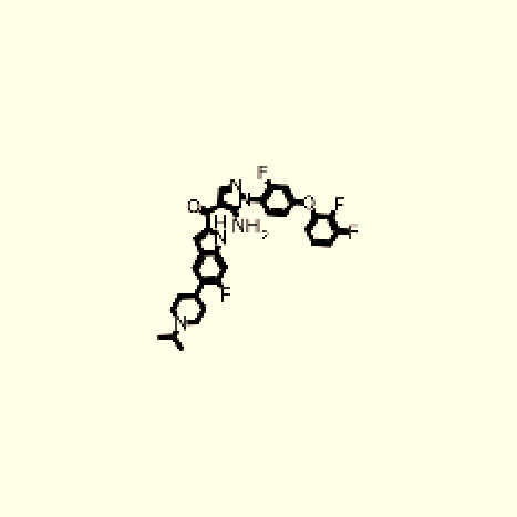 CC(C)N1CCC(c2cc3cc(C(=O)c4cnn(-c5ccc(Oc6cccc(F)c6F)cc5F)c4N)[nH]c3cc2F)CC1